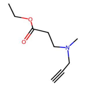 C#CCN(C)CCC(=O)OCC